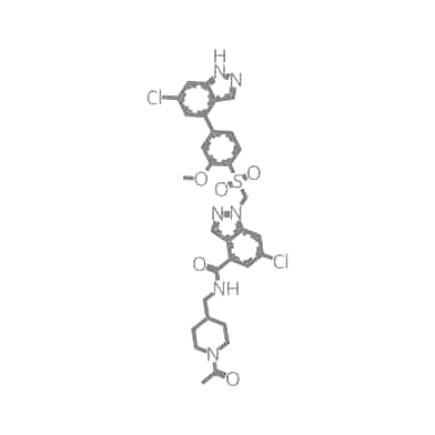 COc1cc(-c2cc(Cl)cc3[nH]ncc23)ccc1S(=O)(=O)Cn1ncc2c(C(=O)NCC3CCN(C(C)=O)CC3)cc(Cl)cc21